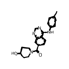 Cc1ccc(Nc2ncnc3cc(C(=O)N4CCC(O)CC4)ccc23)cc1